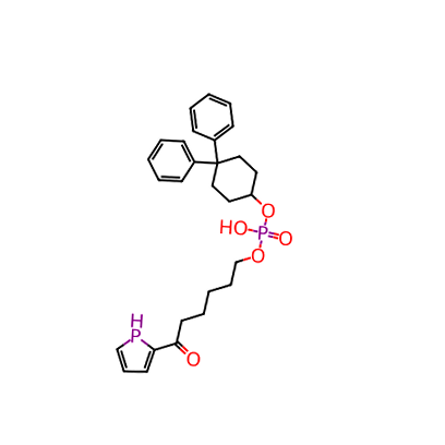 O=C(CCCCCOP(=O)(O)OC1CCC(c2ccccc2)(c2ccccc2)CC1)c1ccc[pH]1